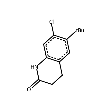 CC(C)(C)c1cc2c(cc1Cl)NC(=O)CC2